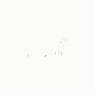 OCCCC#Cc1ccc2c(-c3ccc(Br)cc3)nsc2c1